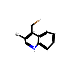 N#Cc1cnc2ccccc2c1CBr